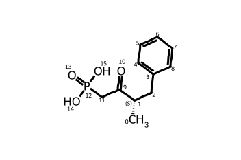 C[C@@H](Cc1ccccc1)C(=O)CP(=O)(O)O